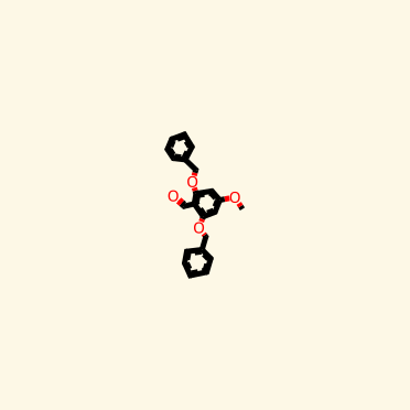 COc1cc(OCc2ccccc2)c(C=O)c(OCc2ccccc2)c1